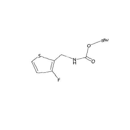 CC(C)(C)OC(=O)NCc1sccc1F